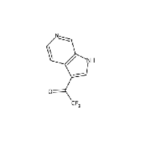 O=C(c1c[nH]c2cnccc12)C(F)(F)F